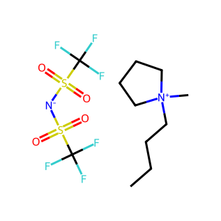 CCCC[N+]1(C)CCCC1.O=S(=O)([N-]S(=O)(=O)C(F)(F)F)C(F)(F)F